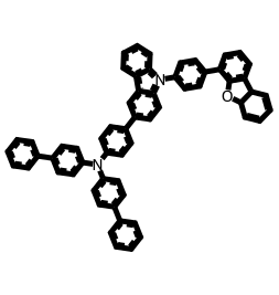 C1=CC2Oc3c(-c4ccc(-n5c6ccccc6c6cc(-c7ccc(N(c8ccc(-c9ccccc9)cc8)c8ccc(-c9ccccc9)cc8)cc7)ccc65)cc4)cccc3C2C=C1